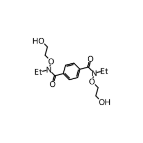 CCN(OCCO)C(=O)c1ccc(C(=O)N(CC)OCCO)cc1